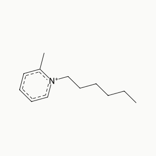 CCCCCC[n+]1ccccc1C